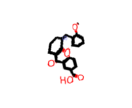 COc1ccccc1/C=C1/CCCc2c1oc1ccc(C(=O)O)cc1c2=O